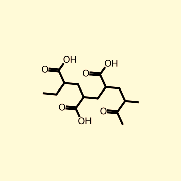 CCC(CC(CC(CC(C)C(C)=O)C(=O)O)C(=O)O)C(=O)O